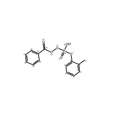 Cc1ccccc1OP(=O)(O)OOC(=O)c1ccccc1